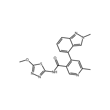 COc1nnc(NC(=O)c2cnc(C)cc2-c2cccc3nn(C)cc23)s1